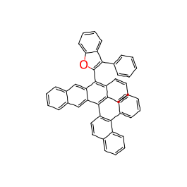 c1ccc(-c2c(-c3c4ccccc4c(-c4oc5ccccc5c4-c4ccccc4)c4cc5ccccc5cc34)ccc3ccccc23)cc1